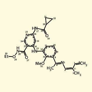 C=C/C(C)=C\N=C(/C)c1cccc(Nc2cc(NC(=O)C3CC3)ncc2C(=O)NOCC)c1OC